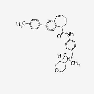 Cc1ccc(-c2ccc3c(c2)C=CCCC3C(=O)Nc2ccc(C[N+](C)(C)C3CCOCC3)cc2)cc1